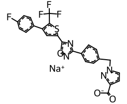 O=C([O-])c1ccn(Cc2ccc(-c3noc(-c4cc(-c5ccc(F)cc5)c(C(F)(F)F)s4)n3)cc2)n1.[Na+]